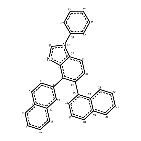 [c]1nc2c(-c3ccc4ccccc4c3)c(-c3cccc4ccccc34)ccc2n1-c1ccccc1